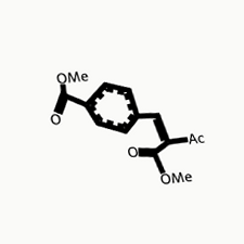 COC(=O)C(=Cc1ccc(C(=O)OC)cc1)C(C)=O